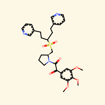 COc1cc(C(=O)C(=O)N2CCC[C@H]2CS(=O)(=O)C(CCc2cccnc2)CCc2cccnc2)cc(OC)c1OC